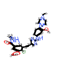 CCN1CCN(c2ccc(Nc3ncc(C#Cc4cc(C(=O)NC)cc(OC)c4Cl)cn3)cc2OC)CC1